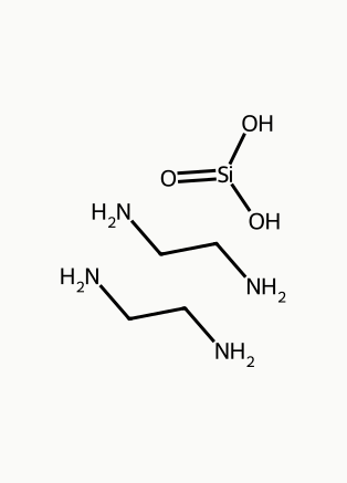 NCCN.NCCN.O=[Si](O)O